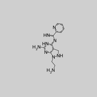 N=C(/N=c1\[nH]c(N)nc2c1CNN2CCN)c1ccccn1